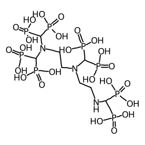 O=P(O)(O)C(NCCN(CCN(C(P(=O)(O)O)P(=O)(O)O)C(P(=O)(O)O)P(=O)(O)O)C(P(=O)(O)O)P(=O)(O)O)P(=O)(O)O